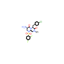 CC(C)N1C=C2N(C(=O)C(N)CN2S(=O)(=O)c2ccc(F)cc2F)C(Cc2ccc(Cl)cc2)C1=O